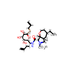 C=CCC[C@@H](NC(=O)[C@@H]1[C@@H]2OCC[C@@H](CC(C)C)C[C@H]2CN1C(=O)O)[C@H]1O[C@H](SCC=C)[C@H](O)[C@@H](O)[C@H]1O